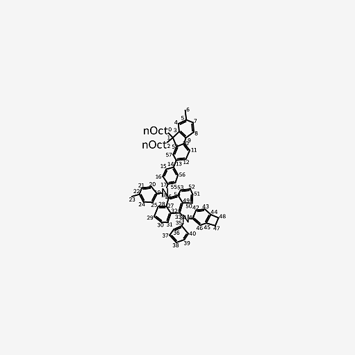 CCCCCCCCC1(CCCCCCCC)c2cc(C)ccc2-c2ccc(-c3ccc(N(c4ccc(C)cc4)c4c5ccccc5c(N(c5ccccc5)c5ccc6c(c5)CC6)c5ccccc45)cc3)cc21